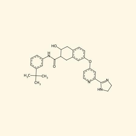 CC(C)(C)c1cccc(NC(=O)C2Cc3cc(Oc4ccnc(C5=NCCN5)c4)ccc3CC2O)c1